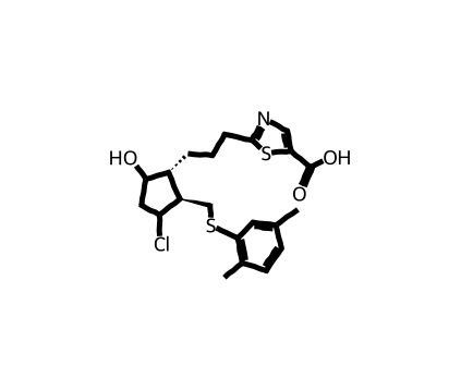 Cc1ccc(C)c(SC[C@H]2C(Cl)CC(O)[C@@H]2CCCc2ncc(C(=O)O)s2)c1